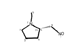 CN1CCC[C@H]1CN=O